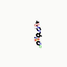 Cc1cc(N(C)S(=O)(=O)c2ccc(Cl)nc2)ccc1CN1CCN(C(=O)OC(C)(C)C)[C@@H](C)C1